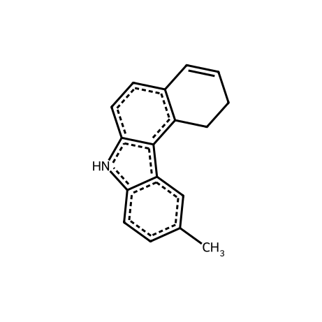 Cc1ccc2[nH]c3ccc4c(c3c2c1)CCC=C4